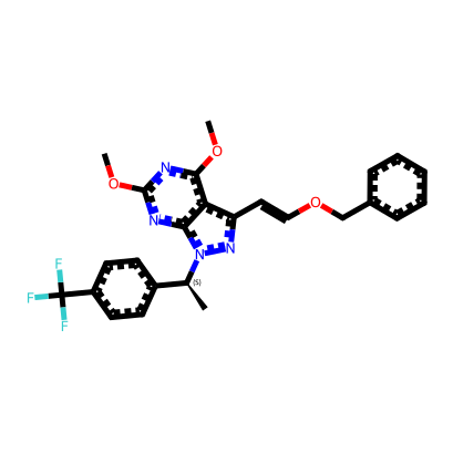 COc1nc(OC)c2c(C=COCc3ccccc3)nn([C@@H](C)c3ccc(C(F)(F)F)cc3)c2n1